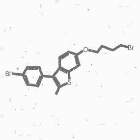 Cc1sc2cc(OCCCCBr)ccc2c1-c1ccc(Br)cc1